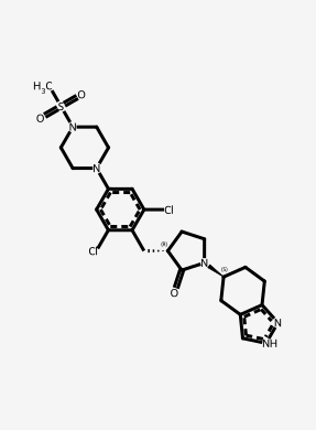 CS(=O)(=O)N1CCN(c2cc(Cl)c(C[C@@H]3CCN([C@H]4CCc5n[nH]cc5C4)C3=O)c(Cl)c2)CC1